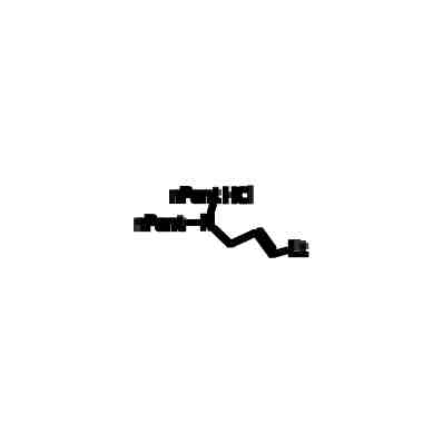 CCC=CCN(CCCCC)CCCCC.Cl